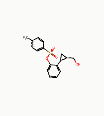 O=S(=O)(Oc1ccccc1C1CC1CO)c1ccc(C(F)(F)F)cc1